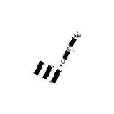 C=C.C=C.C=C.N=C=O